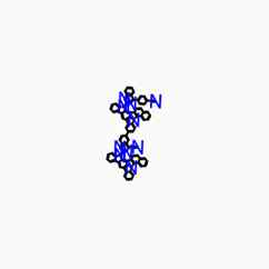 N#Cc1ccc(-c2nc(-n3c4ccccc4c4cc5c6cc(-c7ccc8nc(-n9c%10ccccc%10c%10cc%11c%12ccccc%12n%12c%13c%14ccccc%14ccc%13c(c%109)c%11%12)nc(C#N)c8c7)ccc6n6c7c8ccccc8ccc7c(c43)c56)nc3ccccc23)cc1